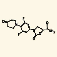 NC(=O)[C@H]1CN(c2cc(F)c(N3C=CC(=O)CC3)c(F)c2)C(=O)O1